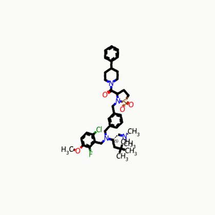 COc1ccc(Cl)c(CN(Cc2cccc(CN3C(C(=O)N4CCC(c5ccccc5)CC4)CCS3(=O)=O)c2)[C@H](CN(C)C)CC(C)(C)C)c1F